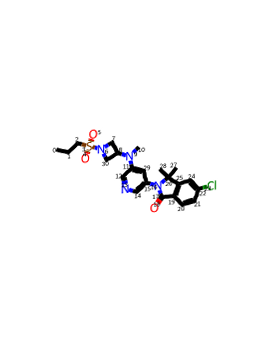 CCCS(=O)(=O)N1CC(N(C)c2cncc(N3C(=O)c4ccc(Cl)cc4C3(C)C)c2)C1